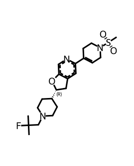 CC(C)(F)CN1CCC([C@H]2Cc3cc(C4=CCN(S(C)(=O)=O)CC4)ncc3O2)CC1